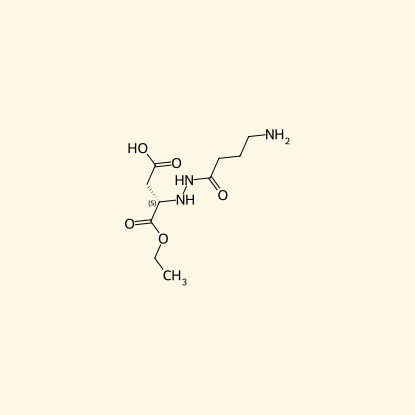 CCOC(=O)[C@H](CC(=O)O)NNC(=O)CCCN